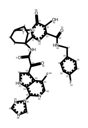 O=C(NC12CCC(CC1)Cn1c2nc(C(=O)NCc2ccc(F)cc2)c(O)c1=O)C(=O)c1c[nH]c2c(-n3cncn3)ncc(F)c12